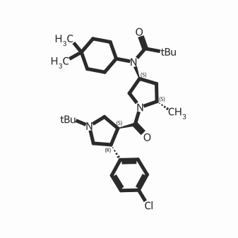 C[C@H]1C[C@H](N(C(=O)C(C)(C)C)C2CCC(C)(C)CC2)CN1C(=O)[C@@H]1CN(C(C)(C)C)C[C@H]1c1ccc(Cl)cc1